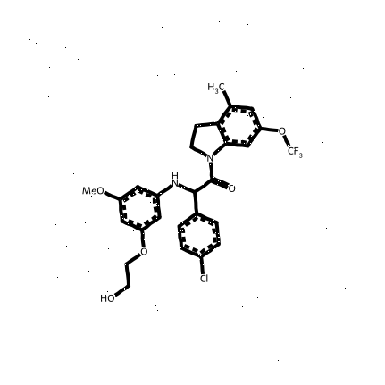 COc1cc(NC(C(=O)N2CCc3c(C)cc(OC(F)(F)F)cc32)c2ccc(Cl)cc2)cc(OCCO)c1